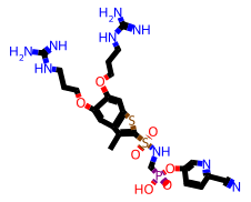 Cc1c(S(=O)(=O)NCP(=O)(O)Oc2ccc(C#N)nc2)sc2cc(OCCCNC(=N)N)c(OCCCNC(=N)N)cc12